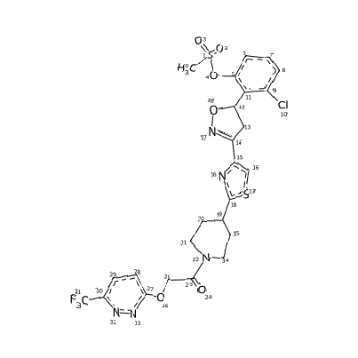 CS(=O)(=O)Oc1cccc(Cl)c1C1CC(c2csc(C3CCN(C(=O)COc4ccc(C(F)(F)F)nn4)CC3)n2)=NO1